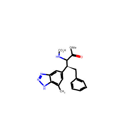 COC(=O)C(NC(=O)O)[C@@H](Cc1ccccc1)c1cc(C)c2[nH]nnc2c1